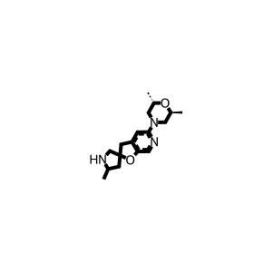 CC1CC2(CN1)Cc1cc(N3C[C@H](C)O[C@@H](C)C3)ncc1O2